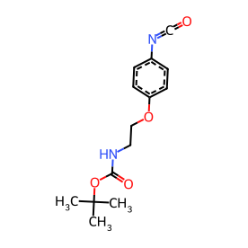 CC(C)(C)OC(=O)NCCOc1ccc(N=C=O)cc1